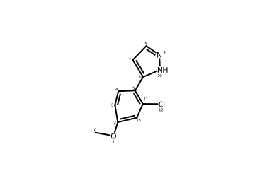 COc1ccc(-c2ccn[nH]2)c(Cl)c1